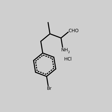 CC(Cc1ccc(Br)cc1)C(N)C=O.Cl